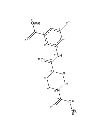 COC(=O)c1cc(F)cc(NC(=O)C2CCN(C(=O)OC(C)(C)C)CC2)c1